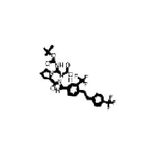 CC(C)(C)OC(=O)NC(=NC(=O)O)N1CCCC1c1nc(-c2ccc(CCc3ccc(C(F)(F)F)cc3)c(C(F)(F)F)c2)no1